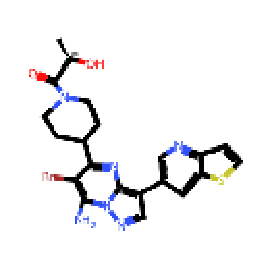 C[C@@H](O)C(=O)N1CCC(c2nc3c(-c4cnc5ccsc5c4)cnn3c(N)c2Br)CC1